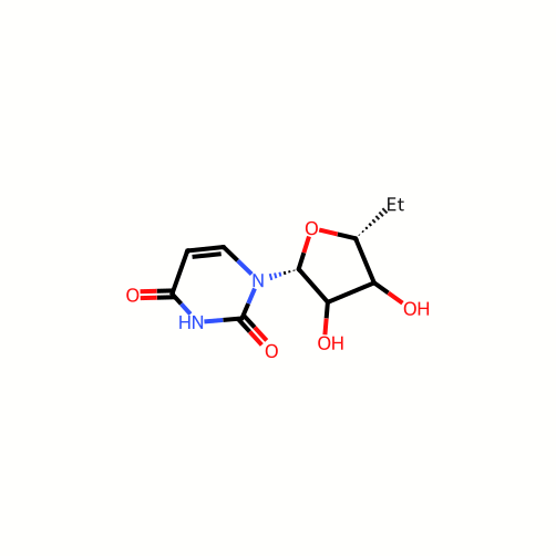 CC[C@H]1O[C@@H](n2ccc(=O)[nH]c2=O)C(O)C1O